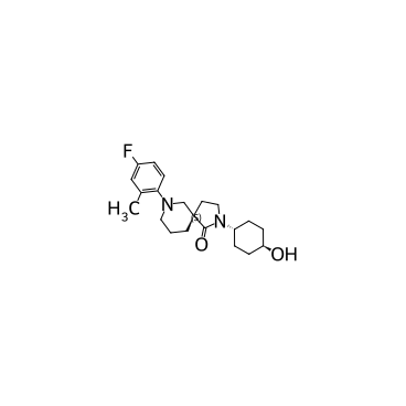 Cc1cc(F)ccc1N1CCC[C@]2(CCN([C@H]3CC[C@H](O)CC3)C2=O)C1